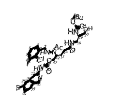 CC(=O)N(NCc1cccc(F)c1Cl)[C@@H](CCC(=O)NC[C@H](CO)NC(=O)OC(C)(C)C)COC(=O)Nc1cc2cc(F)ccc2cn1